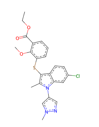 CCOC(=O)c1cccc(Sc2c(C)n(-c3cnn(C)c3)c3cc(Cl)ccc23)c1OC